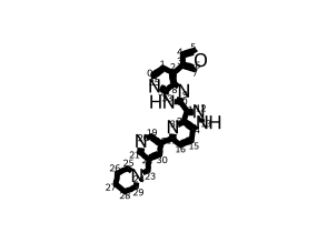 c1cc(-c2ccoc2)c2nc(-c3n[nH]c4ccc(-c5cncc(CN6CCCCC6)c5)nc34)[nH]c2n1